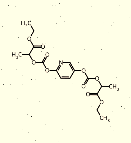 CCOC(=O)C(C)OC(=O)Oc1ccc(OC(=O)OC(C)C(=O)OCC)nc1